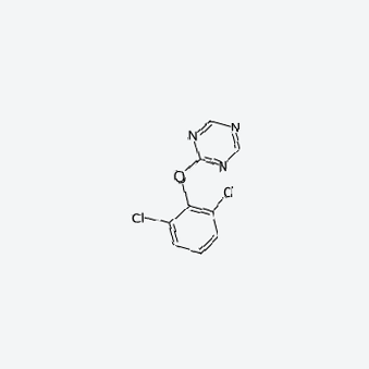 Clc1cccc(Cl)c1Oc1ncncn1